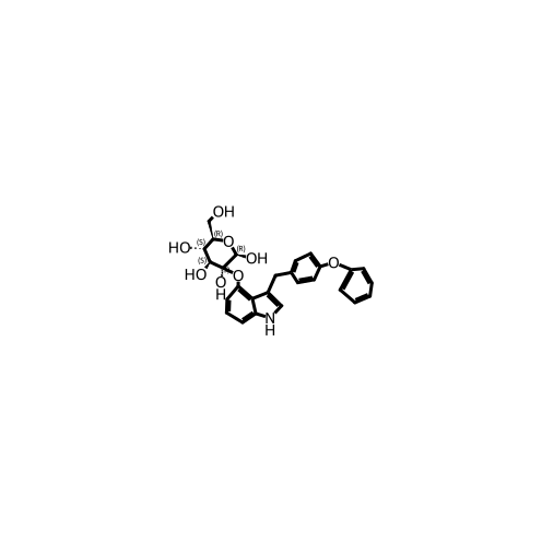 OC[C@H]1O[C@@H](O)[C@@](O)(Oc2cccc3[nH]cc(Cc4ccc(Oc5ccccc5)cc4)c23)[C@@H](O)[C@@H]1O